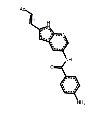 CC(=O)/C=C/c1cc2cc(NC(=O)c3ccc(N)cc3)cnc2[nH]1